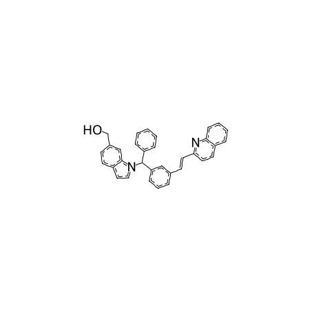 OCc1ccc2ccn(C(c3ccccc3)c3cccc(/C=C/c4ccc5ccccc5n4)c3)c2c1